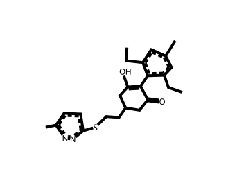 CCc1cc(C)cc(CC)c1C1=C(O)CC(CCSc2ccc(C)nn2)CC1=O